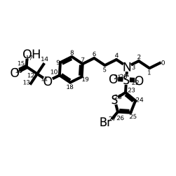 CCCN(CCCc1ccc(OC(C)(C)C(=O)O)cc1)S(=O)(=O)c1ccc(Br)s1